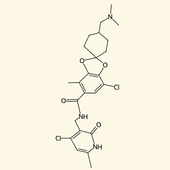 Cc1cc(Cl)c(CNC(=O)c2cc(Cl)c3c(c2C)OC2(CCC(CN(C)C)CC2)O3)c(=O)[nH]1